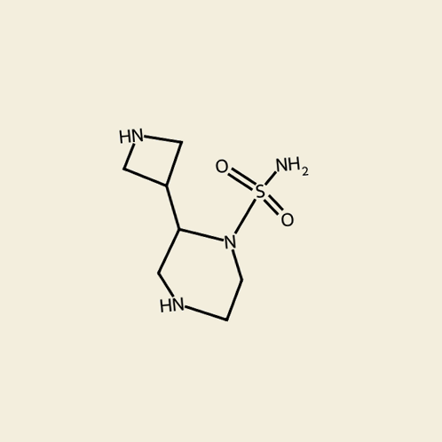 NS(=O)(=O)N1CCNCC1C1CNC1